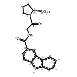 O=C(NCC(=O)N1CCC[C@H]1C(=O)O)c1ccc2oc3ccccc3c2c1